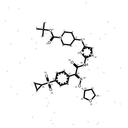 CC(C)(C)OC(=O)N1CCC(Sc2cnc(NC(=O)/C(=N/O[C@@H]3CCOC3)c3ccc(S(=O)(=O)C4CC4)cc3)s2)CC1